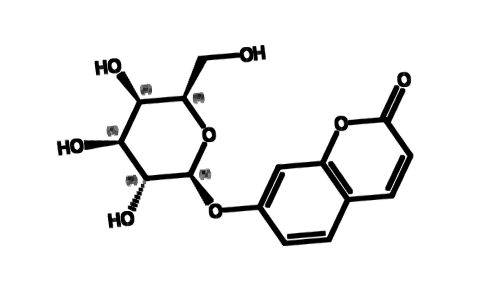 O=c1ccc2ccc(O[C@@H]3O[C@H](CO)[C@H](O)[C@H](O)[C@H]3O)cc2o1